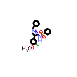 COc1ccc(-c2cn(Cc3ccccc3)nc2NS(=O)(=O)c2ccccc2)cc1F